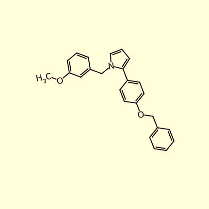 COc1cccc(Cn2cccc2-c2ccc(OCc3ccccc3)cc2)c1